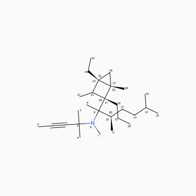 CC#CC(C)(C)N(C)C(C)([C@H](C)CCC(C)C)[C@]1(CCC)C(C)[C@]2(CC)C[C@@]21C